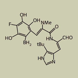 Bc1c(O)c(F)c(O)c(O)c1/C=C(\NC)C(=O)N/C(C=O)=C\c1nc[nH]c1C(C)(C)C